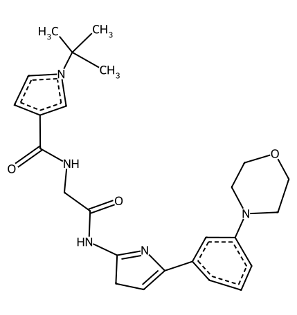 CC(C)(C)n1ccc(C(=O)NCC(=O)NC2=NC(c3cccc(N4CCOCC4)c3)=CC2)c1